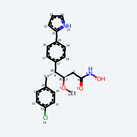 CCO[C@H](CC(=O)NO)[C@H](Cc1ccc(Cl)cc1)c1ccc(-c2ccc[nH]2)cc1